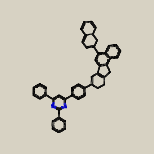 C1=CC2=CC=C(c3cc4c(c5ccccc35)CC3=C4C=C(c4ccc(-c5cc(-c6ccccc6)nc(-c6ccccc6)n5)cc4)CC3)CC2C=C1